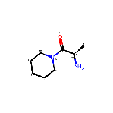 C[C@@H](N)C(=O)N1CC[CH]CC1